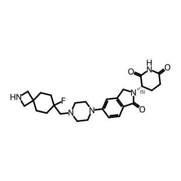 O=C1CC[C@H](N2Cc3cc(N4CCN(CC5(F)CCC6(CC5)CNC6)CC4)ccc3C2=O)C(=O)N1